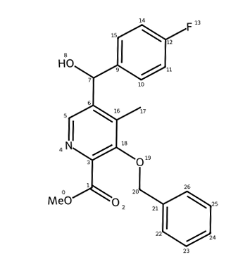 COC(=O)c1ncc(C(O)c2ccc(F)cc2)c(C)c1OCc1ccccc1